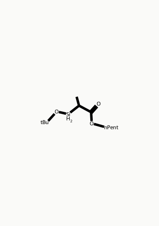 CCCCCOC(=O)C(C)[SiH2]OC(C)(C)C